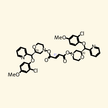 COc1ccc(OC(c2ccccn2)[C@@H]2CN(OC(=O)/C=C/C(=O)ON3CCO[C@H](C(Oc4ccc(OC)cc4Cl)c4ccccn4)C3)CCO2)c(Cl)c1